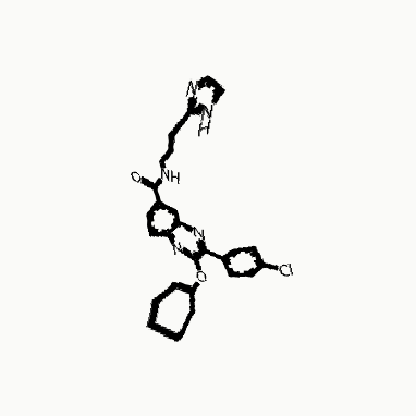 O=C(NCCCc1ncc[nH]1)c1ccc2nc(OC3CCCCC3)c(-c3ccc(Cl)cc3)nc2c1